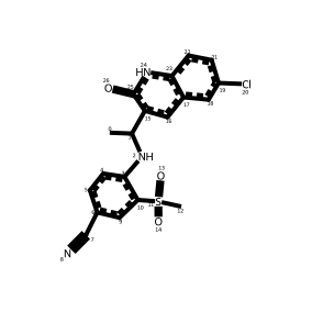 CC(Nc1ccc(C#N)cc1S(C)(=O)=O)c1cc2cc(Cl)ccc2[nH]c1=O